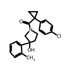 Cc1ccccc1C1(O)CCN(C(=O)C2(c3ccc(Cl)cc3)CC2)C1